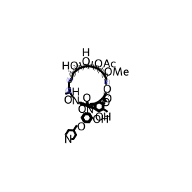 CO[C@H]1/C=C/O[C@@]2(C)Oc3c(C)c(O)c4c(=O)c(c5oc6cc(OCC7CCN(C)CC7)cc(O)c6nc-5c4c3C2=O)NC(=O)/C(C)=C\C=C\[C@H](C)[C@H](O)[C@@H](C)[C@@H](O)[C@@H](C)[C@H](OC(C)=O)[C@@H]1C